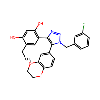 CCc1cc(-c2nnn(Cc3cccc(Cl)c3)c2-c2ccc3c(c2)OCCO3)c(O)cc1O